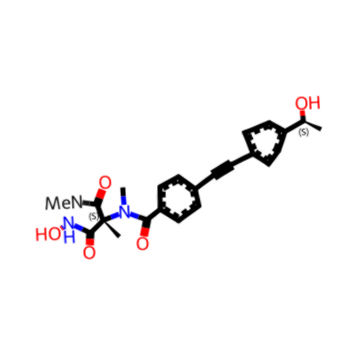 CNC(=O)[C@@](C)(C(=O)NO)N(C)C(=O)c1ccc(C#Cc2ccc([C@H](C)O)cc2)cc1